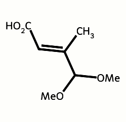 COC(OC)C(C)=CC(=O)O